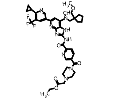 CCOC(=O)CN1CCN(C(=O)c2ccc(C(=O)Nc3nc4nc(-c5cnc(C6CC6)c(C(F)(F)F)c5)cc(N(C)CC5(COC)CCCC5)c4[nH]3)nc2)CC1